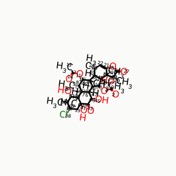 CC(=O)O[C@@H]1[C@H]2[C@H]3[C@H]([C@H](C)[C@H](OC(C)=O)[C@]2(C)[C@@H]2[C@@H]1[C@]1(C)C(=C[C@H]2C)OC(=O)[C@@]1(C)O)[C@@]1(C)[C@@H](O)[C@@H](C)[C@H](Cl)C[C@]1(O)C(=O)[C@@H]3O